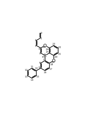 C=C/C=C\C1=CB2c3cc(-c4ccccc4)ccc3Oc3cccc(c32)O1